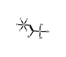 CC(C)[Si](C(Br)=CS(F)(F)(F)(F)F)(C(C)C)C(C)C